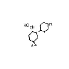 C1CN(C2CCNCC2)CC2(C1)CC2.Cl.Cl